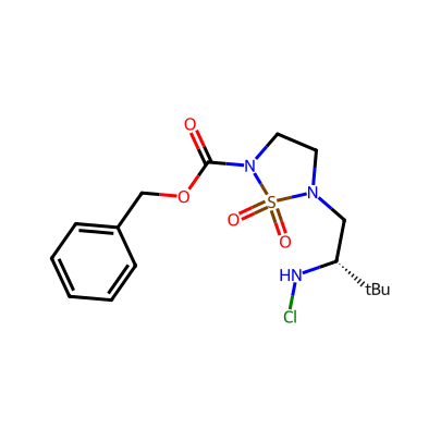 CC(C)(C)[C@@H](CN1CCN(C(=O)OCc2ccccc2)S1(=O)=O)NCl